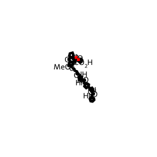 COc1cc2c(cc1OCCCC(=O)Nc1cc(C(=O)Nc3ccc(-c4cn(C)c(C(=O)Nc5ccccc5)n4)cc3)n(C)c1)N(C(=O)O)[C@@H](OC1CCCCO1)[C@@H]1CCCCN1C2=O